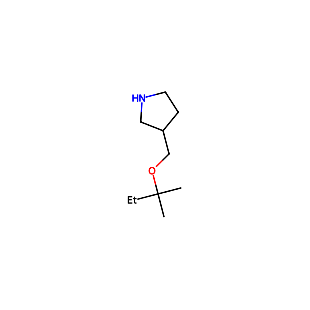 CCC(C)(C)OCC1CCNC1